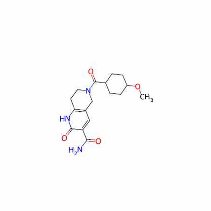 COC1CCC(C(=O)N2CCc3[nH]c(=O)c(C(N)=O)cc3C2)CC1